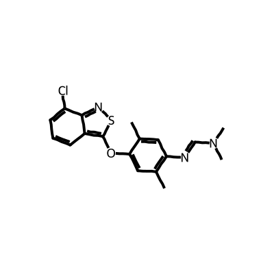 Cc1cc(Oc2snc3c(Cl)cccc23)c(C)cc1N=CN(C)C